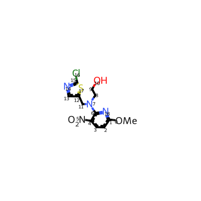 COc1ccc([N+](=O)[O-])c(N(CCO)Cc2cnc(Cl)s2)n1